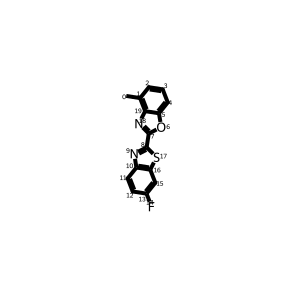 Cc1cccc2oc(-c3nc4ccc(F)cc4s3)nc12